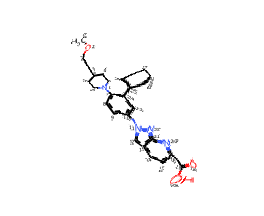 COCC1CCN(c2ccc(-n3cc4ccc(C(=O)O)nc4n3)cc2C2CCC2)CC1